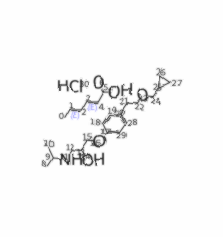 C/C=C/C=C/C(=O)O.CC(C)NCC(O)COc1ccc(CCOCC2CC2)cc1.Cl